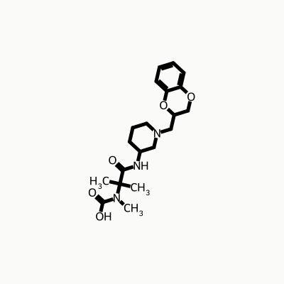 CN(C(=O)O)C(C)(C)C(=O)NC1CCCN(CC2COc3ccccc3O2)C1